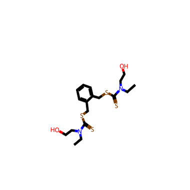 CCN(CCO)C(=S)SCc1ccccc1CSC(=S)N(CC)CCO